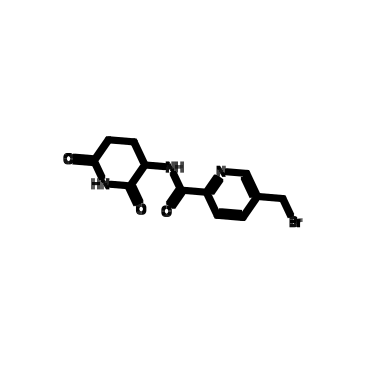 O=C1CCC(NC(=O)c2ccc(CBr)cn2)C(=O)N1